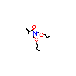 C=C(C)C(=O)N(COCCC)COCCCC